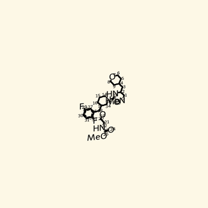 CNCC(CC1CCOCC1)NC(=O)N1CCCC(C(OCCNC(=O)OC)c2cc(F)ccc2F)C1